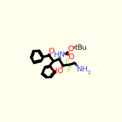 CC(C)(C)OC(=O)NC(C(C(=O)c1ccccc1)c1ccccc1)C(O)C(F)(F)CN